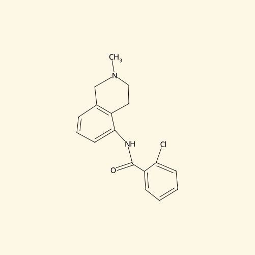 CN1CCc2c(cccc2NC(=O)c2ccccc2Cl)C1